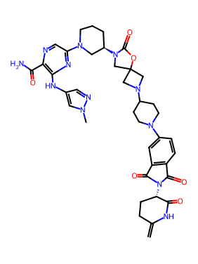 C=C1CC[C@H](N2C(=O)c3ccc(N4CCC(N5CC6(C5)CN([C@@H]5CCCN(c7cnc(C(N)=O)c(Nc8cnn(C)c8)n7)C5)C(=O)O6)CC4)cc3C2=O)C(=O)N1